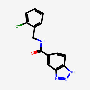 O=C(NCc1ccccc1Cl)c1ccc2[nH]nnc2c1